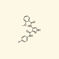 COc1ccccc1C(=O)Nc1c[nH]nc1C(=O)Nc1ccc(F)cc1